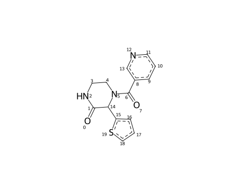 O=C1NCCN(C(=O)c2cccnc2)C1c1cccs1